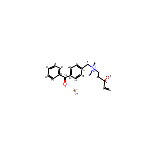 C=CC(=O)CC[N+](C)(C)Cc1ccc(C(=O)c2ccccc2)cc1.[Br-]